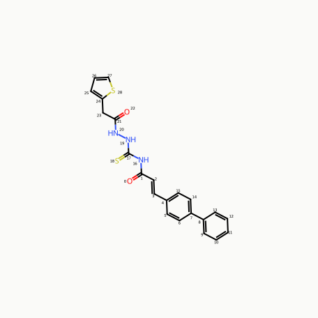 O=C(C=Cc1ccc(-c2ccccc2)cc1)NC(=S)NNC(=O)Cc1cccs1